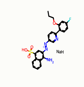 CCCOc1cc(F)ccc1-c1ccc(/N=N/c2cc(S(=O)(=O)O)c3ccccc3c2N)cn1.[NaH]